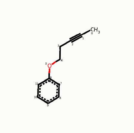 CC#CCCOc1cc[c]cc1